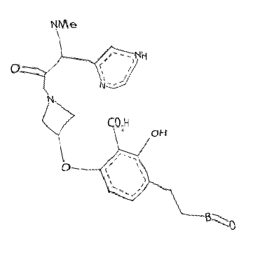 CNC(C(=O)N1CC(Oc2ccc(CCB=O)c(O)c2C(=O)O)C1)c1c[nH]cn1